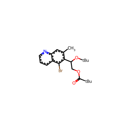 Cc1cc2ncccc2c(Br)c1C(COC(=O)C(C)(C)C)OC(C)(C)C